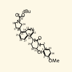 COc1ccc(CN2C(=O)N(c3cncc4c([C@H]5CCN(C(=O)OC(C)(C)C)C5)cccc34)CCC2O)cc1